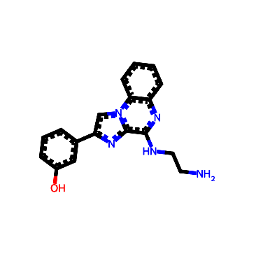 NCCNc1nc2ccccc2n2cc(-c3cccc(O)c3)nc12